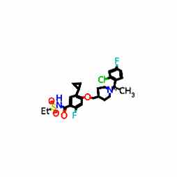 CCS(=O)(=O)NC(=O)c1cc(C2CC2)c(OCC2CCN([C@H](C)c3ccc(F)cc3Cl)CC2)cc1F